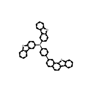 c1ccc2c(c1)oc1ccc(N(c3ccc(-c4ccc5ccc6c7ccccc7sc6c5c4)cc3)c3ccc4oc5ccccc5c4c3)cc12